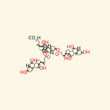 C[C@H](CCC(=O)O[C@@H]1CC[C@@]2(C)[C@@H](C1)C[C@@H](OC(=O)CC[C@@H](C)[C@H]1CCC3C4C(C[C@H](O)[C@@]31C)[C@@]1(C)CC[C@@H](O)C[C@H]1C[C@H]4O)[C@@H]1[C@@H]2C[C@H](O)[C@]2(C)[C@@H]([C@H](C)CCC(=O)O)CC[C@@H]12)[C@H]1CCC2C3C(C[C@H](O)[C@@]21C)[C@@]1(C)CC[C@@H](O)C[C@H]1C[C@H]3O